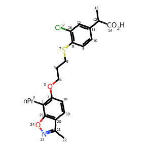 CCCc1c(OCCCSc2ccc(C(C)C(=O)O)cc2Cl)ccc2c(C)noc12